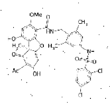 COc1cc(O)c2c(c1C(=O)NCc1c(C)cc(NS(=O)(=O)c3ccc(Cl)cc3Cl)cc1C)OC1=CC(O)=C(C(C)=O)C(=O)[C@]12C